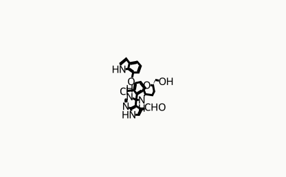 O=Cc1c[nH]c2c1C(N[C@@H]1CC[C@@H](CO)OC1)(c1cccc(Oc3cccc4cc[nH]c34)c1Cl)NC=N2